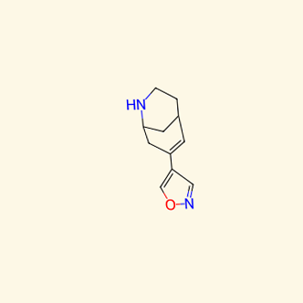 C1=C(c2cnoc2)CC2CC1CCN2